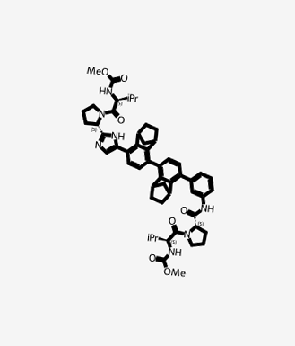 COC(=O)N[C@H](C(=O)N1CCC[C@H]1C(=O)Nc1cccc(-c2ccc(-c3ccc(-c4cnc([C@@H]5CCCN5C(=O)[C@@H](NC(=O)OC)C(C)C)[nH]4)c4c3C3CCC4C3)c3c2C2CCC3C2)c1)C(C)C